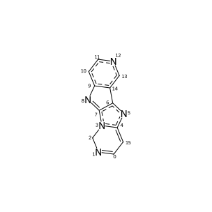 C1=NCn2c(nc3c2=Nc2ccncc2-3)=C1